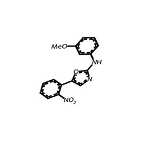 COc1cccc(Nc2ncc(-c3ccccc3[N+](=O)[O-])o2)c1